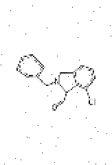 O=CC1c2c(Cl)cccc2CN1Cc1ccccc1